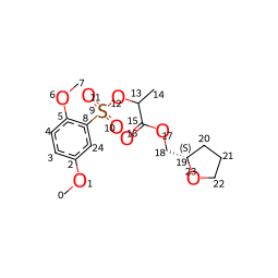 COc1ccc(OC)c(S(=O)(=O)OC(C)C(=O)OC[C@@H]2CCCO2)c1